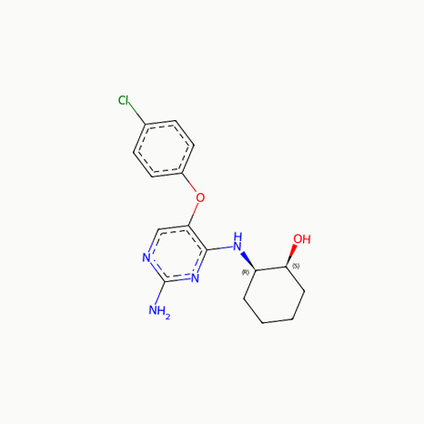 Nc1ncc(Oc2ccc(Cl)cc2)c(N[C@@H]2CCCC[C@@H]2O)n1